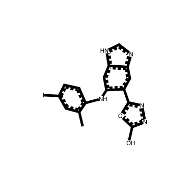 Cc1cc(I)ccc1Nc1cc2[nH]cnc2cc1-c1nnc(O)o1